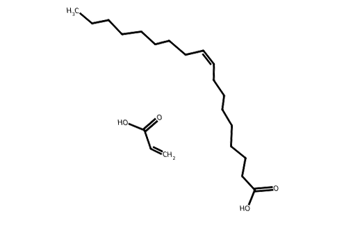 C=CC(=O)O.CCCCCCCC/C=C\CCCCCCCC(=O)O